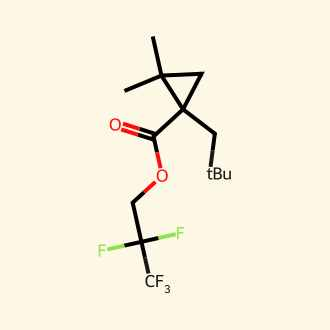 CC(C)(C)CC1(C(=O)OCC(F)(F)C(F)(F)F)CC1(C)C